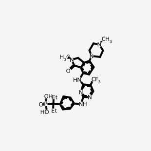 CCC(CC)(c1ccc(Nc2ncc(C(F)(F)F)c(Nc3ccc(N4CCN(C)CC4)c4c3C(=O)N(C)C4)n2)cc1)P(=O)(O)O